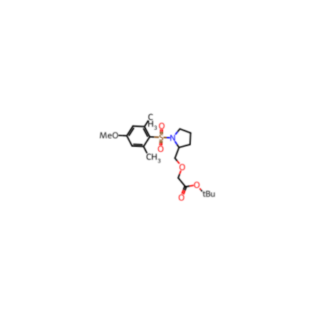 COc1cc(C)c(S(=O)(=O)N2CCCC2COCC(=O)OC(C)(C)C)c(C)c1